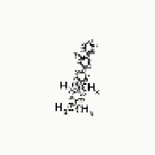 CC(C)C1CCC(C(C)(C)c2ccc(-c3ccc(-c4ccccc4)c(F)c3)cc2)CC1